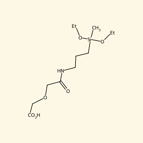 CCO[Si](C)(CCCNC(=O)COCC(=O)O)OCC